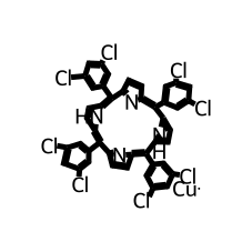 Clc1cc(Cl)cc(-c2c3nc(c(-c4cc(Cl)cc(Cl)c4)c4ccc([nH]4)c(-c4cc(Cl)cc(Cl)c4)c4nc(c(-c5cc(Cl)cc(Cl)c5)c5ccc2[nH]5)C=C4)C=C3)c1.[Cu]